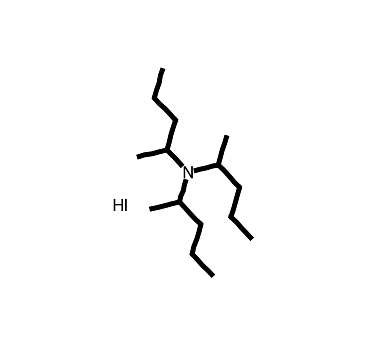 CCCC(C)N(C(C)CCC)C(C)CCC.I